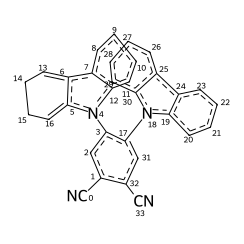 N#Cc1cc(-n2c3c(c4ccccc42)=CCCC=3)c(-n2c3ccccc3c3ccccc32)cc1C#N